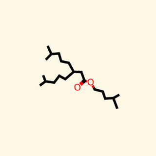 CC(C)CCCOC(=O)CC(CCCC(C)C)CCCC(C)C